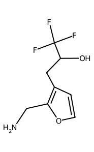 NCc1occc1CC(O)C(F)(F)F